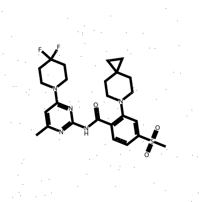 Cc1cc(N2CCC(F)(F)CC2)nc(NC(=O)c2ccc(S(C)(=O)=O)cc2N2CCC3(CC2)CC3)n1